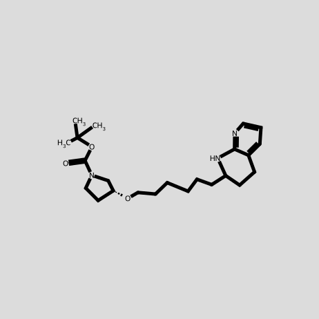 CC(C)(C)OC(=O)N1CC[C@@H](OCCCCCCC2CCc3cccnc3N2)C1